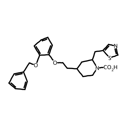 O=C(O)N1CCC(CCOc2ccccc2OCc2ccccc2)CC1Cc1cncs1